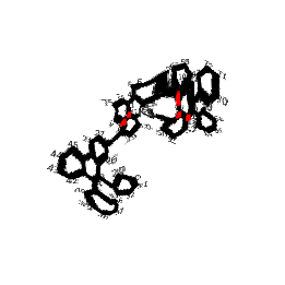 c1ccc(-c2cccc(-c3ccccc3)c2N(c2ccc(-c3ccc4c(c3)c(-c3ccccc3)c(-c3ccccc3)c3ccccc34)cc2)c2cccc3c2-c2ccccc2C3(c2ccccc2)c2ccccc2)cc1